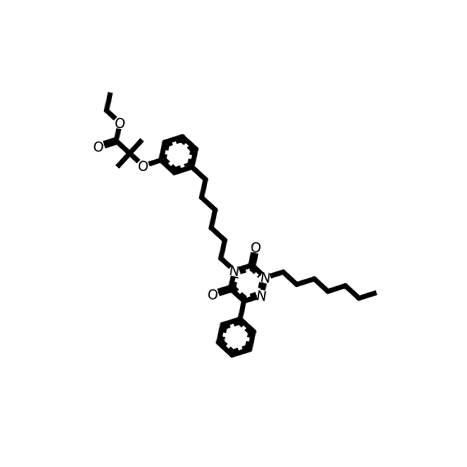 CCCCCCCn1nc(-c2ccccc2)c(=O)n(CCCCCCc2cccc(OC(C)(C)C(=O)OCC)c2)c1=O